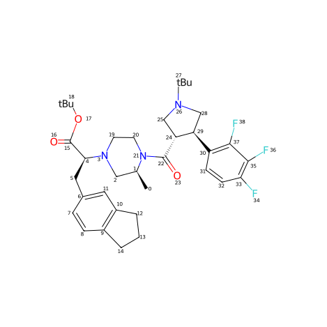 C[C@H]1CN([C@@H](Cc2ccc3c(c2)CCC3)C(=O)OC(C)(C)C)CCN1C(=O)[C@@H]1CN(C(C)(C)C)C[C@H]1c1ccc(F)c(F)c1F